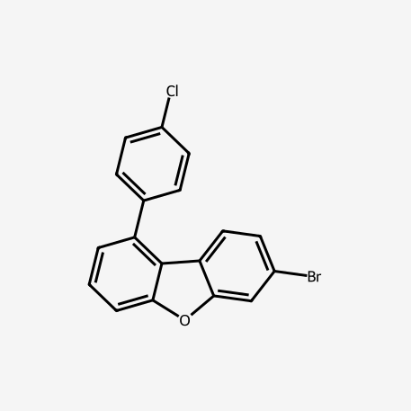 Clc1ccc(-c2cccc3oc4cc(Br)ccc4c23)cc1